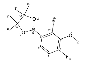 COc1c(F)ccc(B2OC(C)(C)C(C)(C)O2)c1F